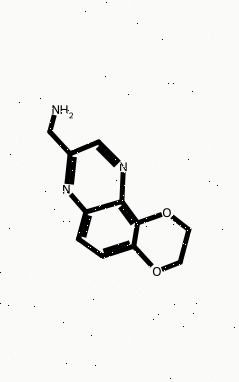 NCc1cnc2c3c(ccc2n1)OCCO3